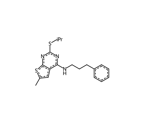 Cc1cc2c(NCCCc3ccccc3)nc(SC(C)C)nc2s1